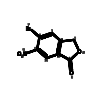 O=C1OCc2cc(Br)c([N+](=O)[O-])cc21